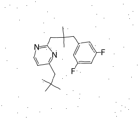 CC(C)(C)Cc1ccnc(CC(C)(C)Cc2cc(F)cc(F)c2)n1